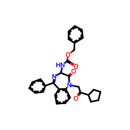 O=C(NC1N=C(c2ccccc2)c2ccccc2N(CC(=O)C2CCCC2)C1=O)OCc1ccccc1